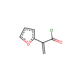 C=C(C(=O)Cl)c1ccco1